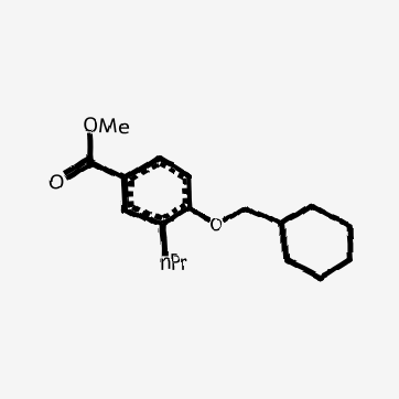 CCCc1cc(C(=O)OC)ccc1OCC1CCCCC1